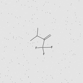 C=C([C](C)C)C(F)(F)F